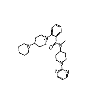 CN(C(=O)c1ccccc1N1CCC(N2CCCCC2)CC1)C1CCN(c2ncccn2)CC1